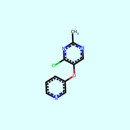 Cc1ncc(Oc2cccnc2)c(Cl)n1